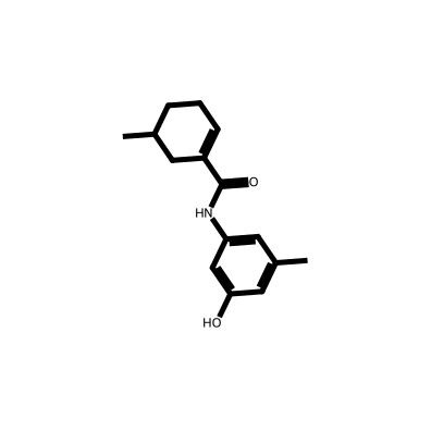 Cc1cc(O)cc(NC(=O)C2=CCCC(C)C2)c1